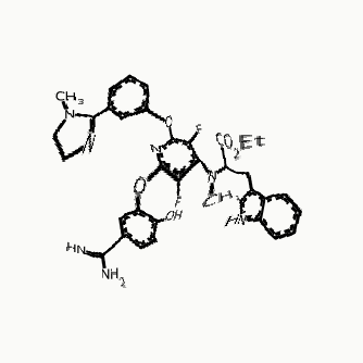 CCOC(=O)C(Cc1c[nH]c2ccccc12)N(C)c1c(F)c(Oc2cccc(C3=NCCN3C)c2)nc(Oc2cc(C(=N)N)ccc2O)c1F